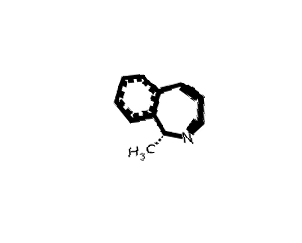 C[C@H]1N=CC=Cc2ccccc21